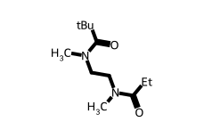 CCC(=O)N(C)CCN(C)C(=O)C(C)(C)C